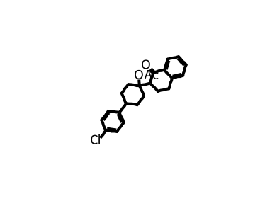 CC(=O)OC1(C2CCc3ccccc3C2=O)CCC(c2ccc(Cl)cc2)CC1